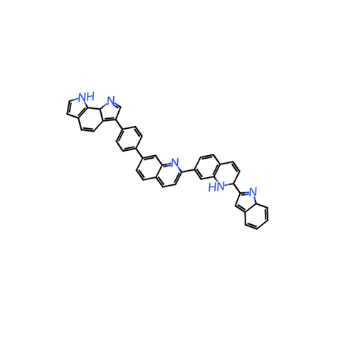 C1=CC2=CC(C3C=Cc4ccc(-c5ccc6ccc(-c7ccc(C8=C9C=Cc%10cc[nH]c%10C9N=C8)cc7)cc6n5)cc4N3)=NC2C=C1